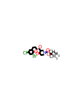 CC(C)(C)OC(=O)N1CCC(=O)C(C(=O)[C@H]2CCc3cc(Cl)cc(Br)c3O2)C1